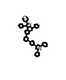 C1=C(c2ccccc2)C2N=C(c3ccccc3)C(c3ccccc3)=C2c2ccc(-c3cccc(-c4ccc(-c5cc(-c6ccccc6)nc(-c6ccccc6)c5)cc4)c3)cc21